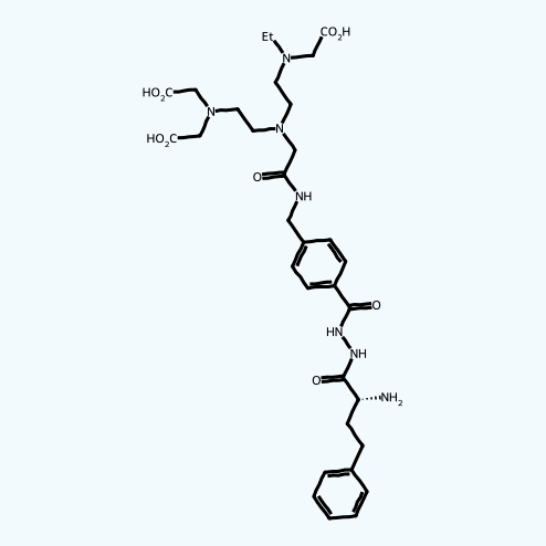 CCN(CCN(CCN(CC(=O)O)CC(=O)O)CC(=O)NCc1ccc(C(=O)NNC(=O)[C@H](N)CCc2ccccc2)cc1)CC(=O)O